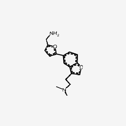 CN(C)CCc1coc2ccc(-c3ccc(CN)o3)cc12